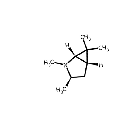 C[C@@H]1C[C@@H]2[C@H](N1C)C2(C)C